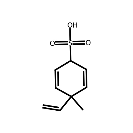 C=CC1(C)C=CC(S(=O)(=O)O)C=C1